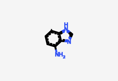 Nc1cc[c]c2[nH]cnc12